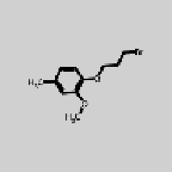 COc1cc(C)ccc1OCCCBr